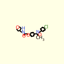 Cc1oc(-c2ccc(Cl)cc2)nc1-c1ccc(OCC(=O)NCC2CCOCC2)cc1